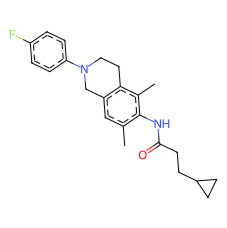 Cc1cc2c(c(C)c1NC(=O)CCC1CC1)CCN(c1ccc(F)cc1)C2